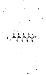 BBBBBBBBBB